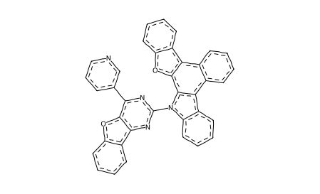 c1cncc(-c2nc(-n3c4ccccc4c4c5ccccc5c5c6ccccc6oc5c43)nc3c2oc2ccccc23)c1